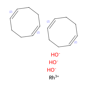 C1=C\CC/C=C\CC/1.C1=C\CC/C=C\CC/1.[OH-].[OH-].[OH-].[Rh+3]